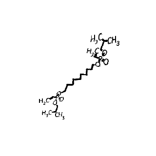 C=CP(=O)(OCCCCCCCCCCOP(=O)(C=C)OCC(C)C)OCC(C)C